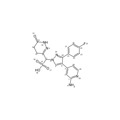 Nc1cc(-c2cn(C(C3=NNC(=O)CC3)S(=O)(=O)O)nc2-c2ccc(F)cc2)ccn1